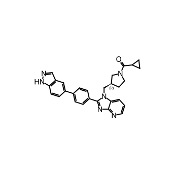 O=C(C1CC1)N1CC[C@@H](Cn2c(-c3ccc(-c4ccc5[nH]ncc5c4)cc3)nc3ncccc32)C1